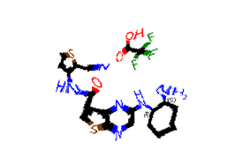 N#Cc1sccc1NC(=O)c1csc2ncc(N[C@@H]3CCCC[C@@H]3N)nc12.O=C(O)C(F)(F)F